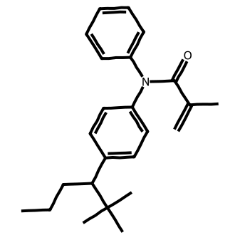 C=C(C)C(=O)N(c1ccccc1)c1ccc(C(CCC)C(C)(C)C)cc1